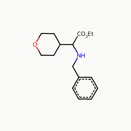 CCOC(=O)C(NCc1ccccc1)C1CCOCC1